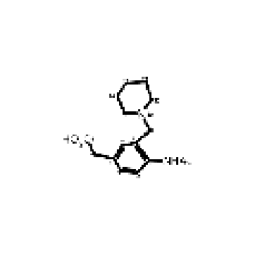 CC(=O)Nc1ccc(CC(=O)O)cc1CN1CCCCC1